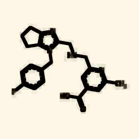 Cc1cc(C(=O)O)cc(CNCc2nc3c(n2Cc2ccc(F)cc2)CCC3)n1